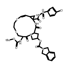 CC(C)(C)OC(=O)NC1CCCCCC=CC2CC2(C(=O)NS(=O)(=O)c2ccc(Cl)cc2)NC(=O)C2CC(OC(=O)N3Cc4ccccc4C3)CN2C1=O